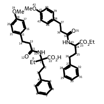 CCC(CCc1ccccc1)(NC(=O)CCc1ccc(OC)cc1)C(=O)O.CCOC(=O)C(CCc1ccccc1)NC(=O)CCc1ccc(OC)cc1